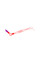 BB=BOI